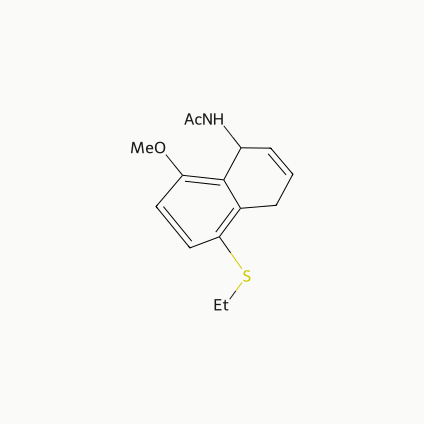 CCSc1ccc(OC)c2c1CC=CC2NC(C)=O